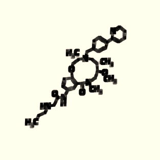 CCCNCC(=O)Nc1ccc2c(c1)C(=O)N(C)C[C@H](OC)[C@@H](C)CN(Cc1ccc(-c3ccccn3)cc1)[C@@H](C)CO2